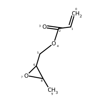 C=CC(=O)OCC1OC1C